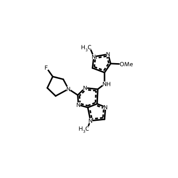 COc1nn(C)cc1Nc1nc(N2CCC(F)C2)nc2c1ncn2C